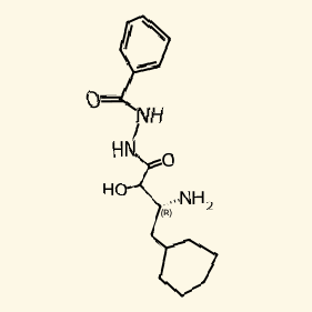 N[C@H](CC1CCCCC1)C(O)C(=O)NNC(=O)c1ccccc1